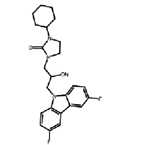 O=C1N(CC(O)Cn2c3ccc(F)cc3c3cc(F)ccc32)CCN1C1CCCCC1